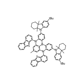 Cc1cc2c3c(c1)N(c1cccc4c1sc1ccccc14)c1cc(N4c5ccc(C(C)(C)C)cc5C5(C)CCCCC45C)ccc1B3c1ccc(N3c4ccc(C(C)(C)C)cc4C4(C)CCCCC34C)cc1N2c1cccc2c1sc1ccccc12